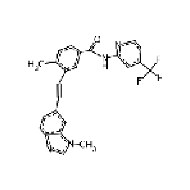 Cc1ccc(C(=O)Nc2cc(C(F)(F)F)ccn2)cc1C#Cc1ccc2ncn(C)c2c1